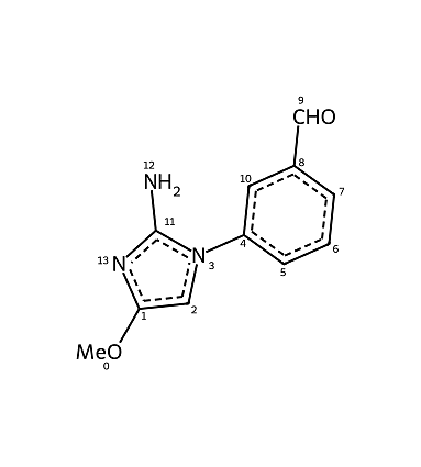 COc1cn(-c2cccc(C=O)c2)c(N)n1